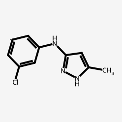 Cc1cc(Nc2c[c]cc(Cl)c2)n[nH]1